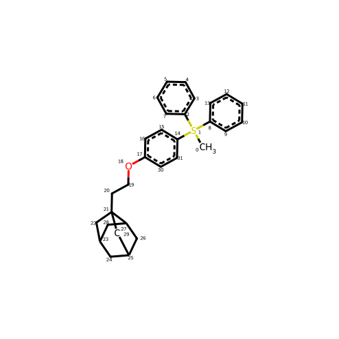 CS(c1ccccc1)(c1ccccc1)c1ccc(OCCC23CC4CC(CC2C4)C3)cc1